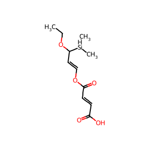 CCOC(C=COC(=O)C=CC(=O)O)[SiH](C)C